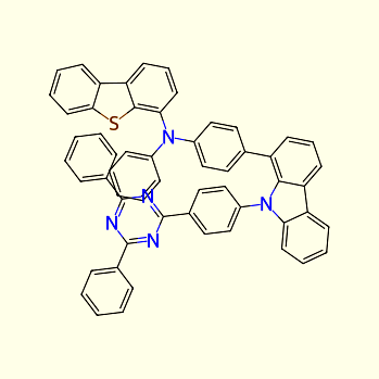 c1ccc(-c2nc(-c3ccccc3)nc(-c3ccc(-n4c5ccccc5c5cccc(-c6ccc(N(c7ccccc7)c7cccc8c7sc7ccccc78)cc6)c54)cc3)n2)cc1